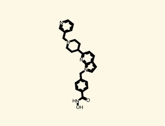 O=C(NO)c1ccc(Cn2ccc3ccc(C4CCN(Cc5cccnc5)CC4)nc32)cc1